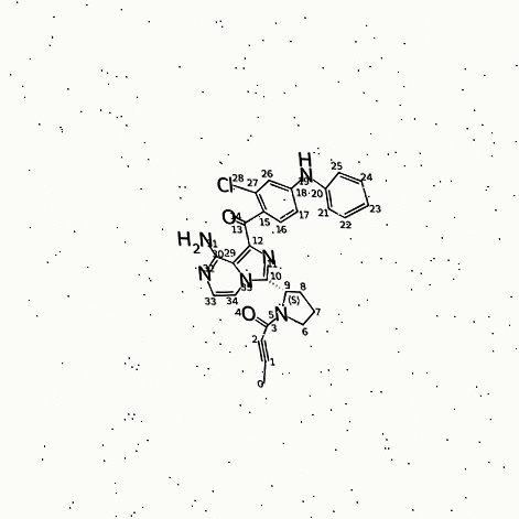 CC#CC(=O)N1CCC[C@H]1c1nc(C(=O)c2ccc(Nc3ccccc3)cc2Cl)c2c(N)nccn12